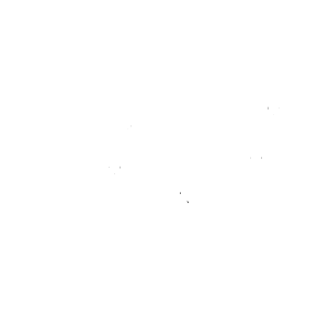 N#Cc1c(-c2ccc3c(c2)OCCO3)csc1OCc1ccccc1